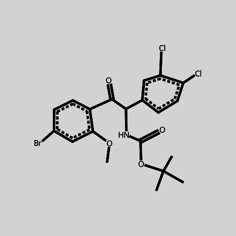 COc1cc(Br)ccc1C(=O)C(NC(=O)OC(C)(C)C)c1ccc(Cl)c(Cl)c1